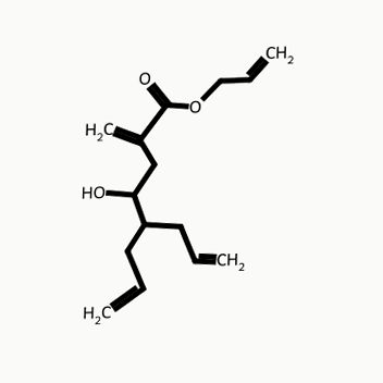 C=CCOC(=O)C(=C)CC(O)C(CC=C)CC=C